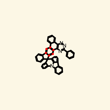 c1ccc(-c2nnc(-c3ccccc3-c3ccc4c(c3)-c3ccccc3C43c4ccccc4-n4c5ccccc5c5cccc3c54)c(-c3ccccc3)n2)cc1